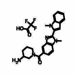 Cn1c(-c2nc3cc(C(=O)N4CCCC(N)C4)ccc3n2C)cc2ccccc21.O=C(O)C(F)(F)F